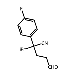 CC(C)C(C#N)(CCC=O)c1ccc(F)cc1